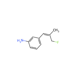 CC(=Cc1cccc(N)c1)CF